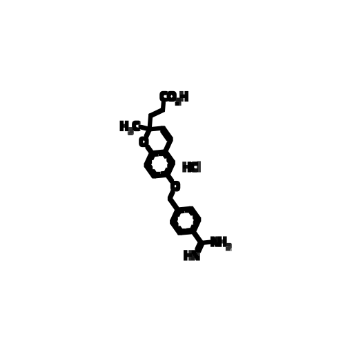 CC1(CCC(=O)O)C=Cc2cc(OCc3ccc(C(=N)N)cc3)ccc2O1.Cl